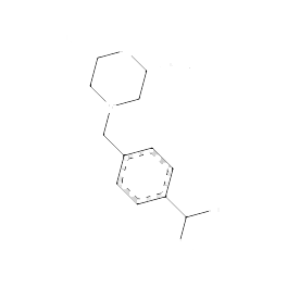 CC(O)c1ccc(CN2C[C@@H](C)O[C@@H](C)C2)cc1